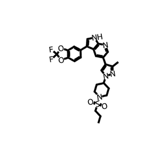 CCCS(=O)(=O)N1CCC(n2cc(-c3cnc4[nH]cc(-c5ccc6c(c5)OC(F)(F)O6)c4c3)c(C)n2)CC1